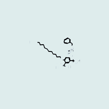 CCCCCCCCCCCCOc1cc(OP(=O)(O)O)c(C(C)(C)C)cc1C(C)(C)C.Oc1cccc(CBr)c1